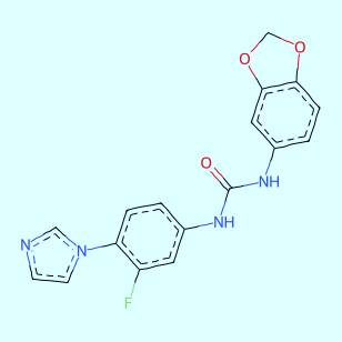 O=C(Nc1ccc(-n2ccnc2)c(F)c1)Nc1ccc2c(c1)OCO2